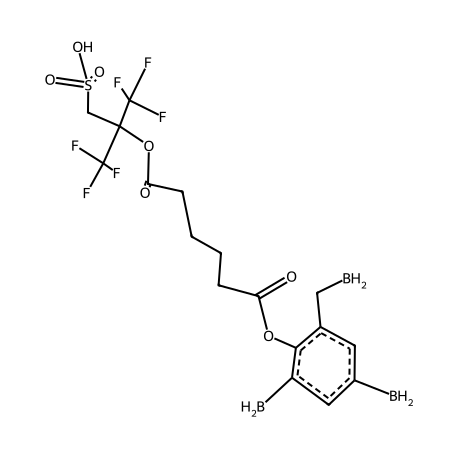 BCc1cc(B)cc(B)c1OC(=O)CCCCC(=O)OC(CS(=O)(=O)O)(C(F)(F)F)C(F)(F)F